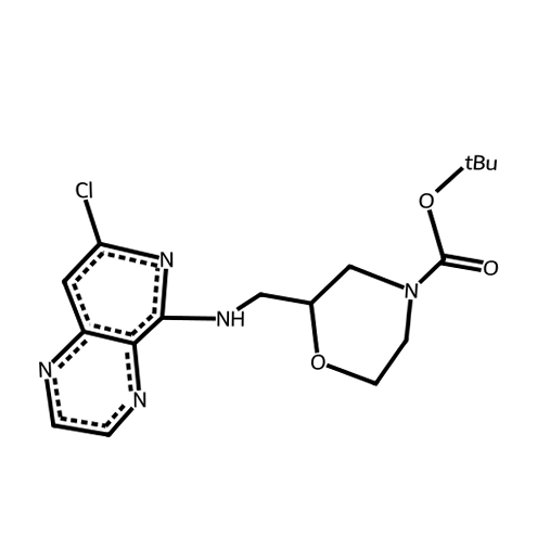 CC(C)(C)OC(=O)N1CCOC(CNc2nc(Cl)cc3nccnc23)C1